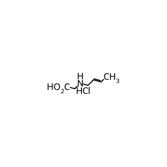 C/C=C/CNCC(=O)O.Cl